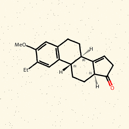 CCc1cc2c(cc1OC)CC[C@H]1C3=CCC(=O)[C@H]3CC[C@H]21